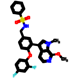 COc1nccc2c(-c3cc(CNS(=O)(=O)c4ccccc4)ccc3Oc3ccc(F)cc3F)cn(C)c12